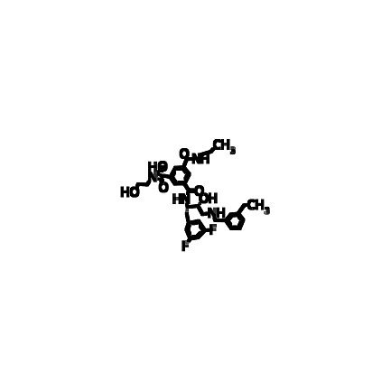 CCCNC(=O)c1cc(C(=O)N[C@@H](Cc2cc(F)cc(F)c2)[C@H](O)CNCc2cccc(CC)c2)cc(S(=O)(=O)NCCO)c1